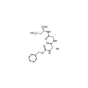 CC(C)[C@H](NC(=O)OCc1ccccc1)C(=O)N[C@@H](C)C(=O)N[C@H](C=O)CC(=O)O